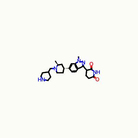 C[C@H]1C[C@H](c2ccc3c(C4CCC(=O)NC4=O)nn(C)c3c2)CCN1CC1CCNCC1